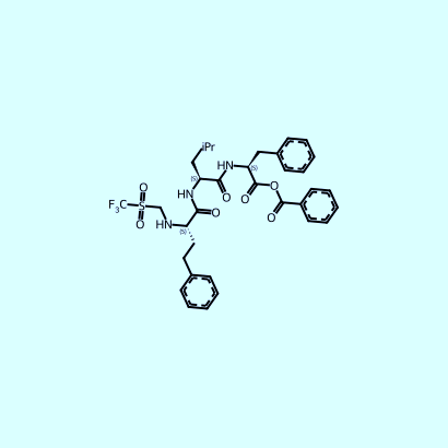 CC(C)C[C@H](NC(=O)[C@H](CCc1ccccc1)NCS(=O)(=O)C(F)(F)F)C(=O)N[C@@H](Cc1ccccc1)C(=O)OC(=O)c1ccccc1